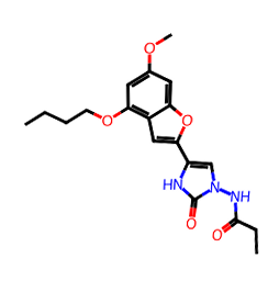 CCCCOc1cc(OC)cc2oc(-c3cn(NC(=O)CC)c(=O)[nH]3)cc12